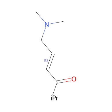 CC(C)C(=O)/C=C/CN(C)C